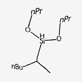 CCCCC(C)[SiH](OCCC)OCCC